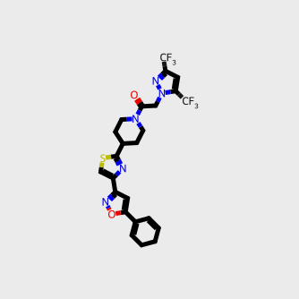 O=C(Cn1nc(C(F)(F)F)cc1C(F)(F)F)N1CCC(c2nc(-c3cc(C4=CCCC=C4)on3)cs2)CC1